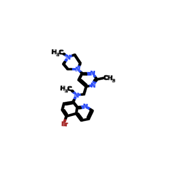 Cc1nc(CN(C)c2ccc(Br)c3cccnc23)cc(N2CCN(C)CC2)n1